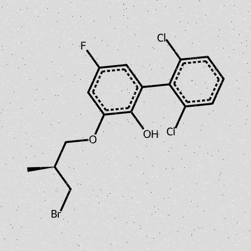 C[C@H](CBr)COc1cc(F)cc(-c2c(Cl)cccc2Cl)c1O